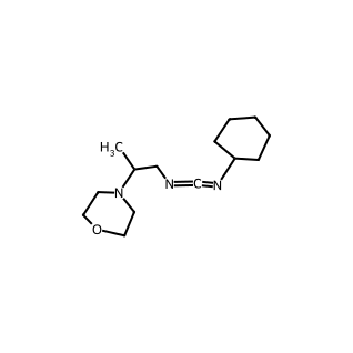 CC(CN=C=NC1CCCCC1)N1CCOCC1